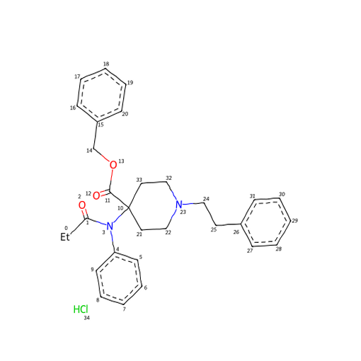 CCC(=O)N(c1ccccc1)C1(C(=O)OCc2ccccc2)CCN(CCc2ccccc2)CC1.Cl